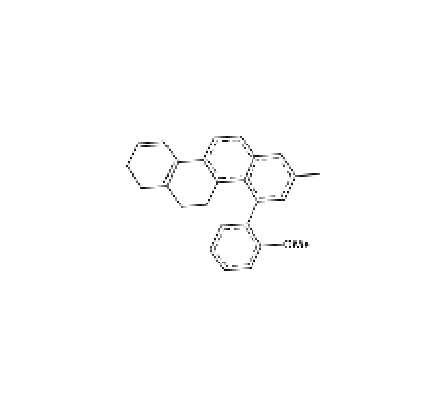 COc1ccccc1-c1cc(C)cc2ccc3c(c12)CCC1=C3C=CCC1